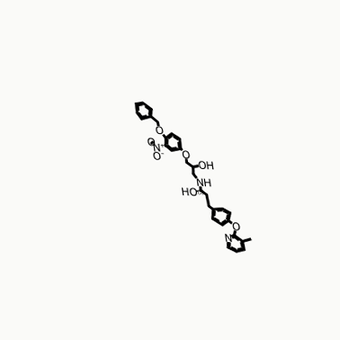 Cc1cccnc1Oc1ccc(CC[C@H](O)NCC(O)COc2ccc(OCc3ccccc3)c([N+](=O)[O-])c2)cc1